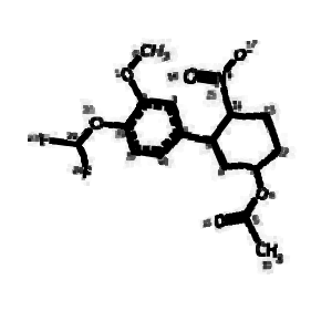 COc1cc(C2CC(OC(C)=O)CCC2[N+](=O)[O-])ccc1OC(F)F